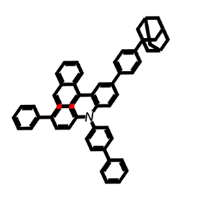 c1ccc(-c2ccc(N(c3ccc(-c4ccccc4)cc3)c3ccc(-c4ccc(C56CC7CC(CC(C7)C5)C6)cc4)cc3-c3cccc4ccccc34)cc2)cc1